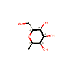 C[C@H]1O[C@H](CO)[C@@H](O)[C@@H](O)[C@H]1O